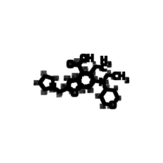 CCc1c(N(CC)C2CCOCC2)cc2oc(CN3CCCC3)cc2c1C(=O)O